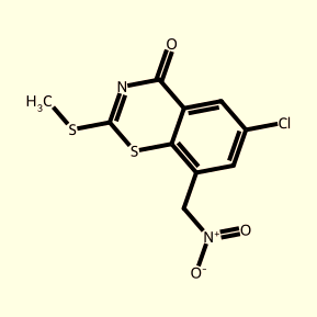 CSc1nc(=O)c2cc(Cl)cc(C[N+](=O)[O-])c2s1